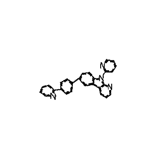 c1ccc(-c2ccc(-c3ccc4c(c3)c3cccnc3n4-c3ccccn3)cc2)nc1